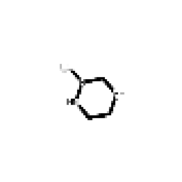 CN1CNCCN1